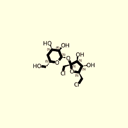 OC[C@@H]1C[C@H](O)[C@@H](O)[C@H](O[C@@]2(CCl)O[C@H](CCl)[C@@H](O)[C@@H]2O)O1